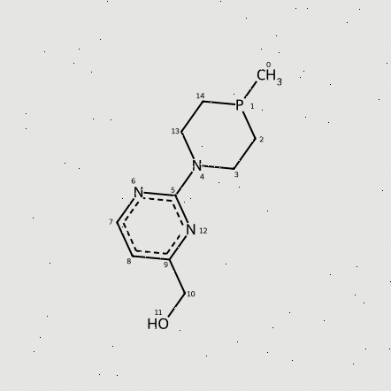 CP1CCN(c2nccc(CO)n2)CC1